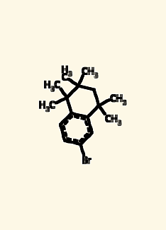 CC1(C)CC(C)(C)C(C)(C)c2ccc(Br)cc21